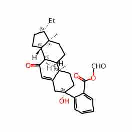 CC[C@H]1CC[C@H]2[C@@H]3C(=O)C=C4C[C@](O)(c5ccccc5C(=O)OC=O)CC[C@]4(C)[C@H]3CC[C@]12C